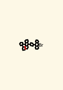 Brc1c2ccccc2c(-c2ccc(-c3c4ccccc4c(-c4ccccc4-c4ccccc4)c4ccccc34)cc2)c2ccccc12